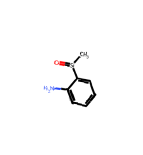 C[Si](=O)c1ccccc1N